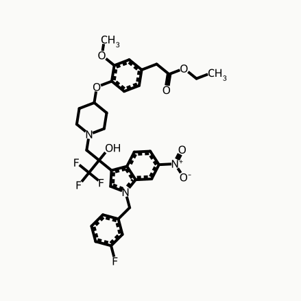 CCOC(=O)Cc1ccc(OC2CCN(CC(O)(c3cn(Cc4cccc(F)c4)c4cc([N+](=O)[O-])ccc34)C(F)(F)F)CC2)c(OC)c1